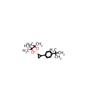 CC(C)(C)c1ccc(C2CC2B2OC(C)(C)C(C)(C)O2)cc1